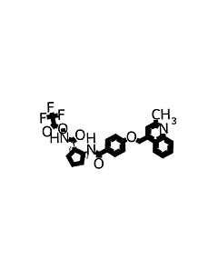 Cc1cc(COc2ccc(C(=O)N[C@@H]3CCC[C@@H]3C(=O)NOC(=O)C(F)(F)F)cc2)c2ccccc2n1